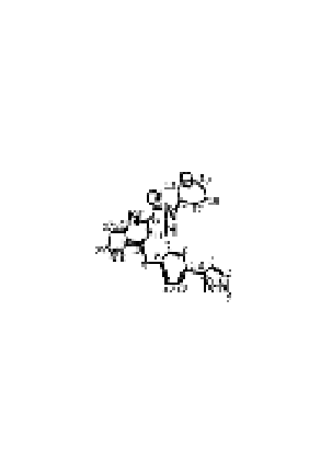 Cn1ccc(-c2ccc(Cc3cc(C(=O)NC4CCCOC4)nc4c3OCC4)cc2)n1